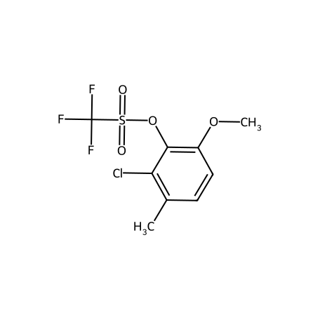 COc1ccc(C)c(Cl)c1OS(=O)(=O)C(F)(F)F